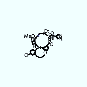 CC[C@H]1C/C=C/[C@H](OC)[C@@H]2CC[C@H]2CN2Cc3ccc(Cl)cc3CCCCOc3ccc(cc32)C(=O)N=S(=O)(NC(=O)c2cnn(C)c2)C1